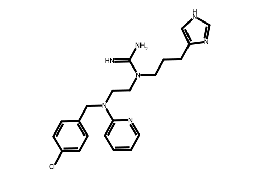 N=C(N)N(CCCc1c[nH]cn1)CCN(Cc1ccc(Cl)cc1)c1ccccn1